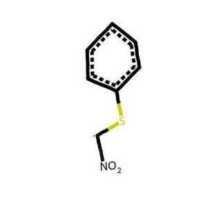 O=[N+]([O-])[CH]Sc1ccccc1